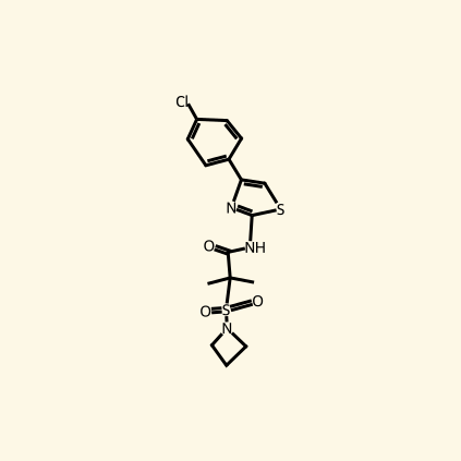 CC(C)(C(=O)Nc1nc(-c2ccc(Cl)cc2)cs1)S(=O)(=O)N1CCC1